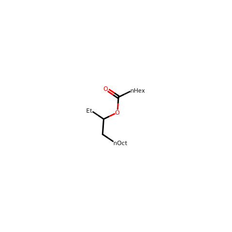 CCCCCCCCCC(CC)OC(=O)CCCCCC